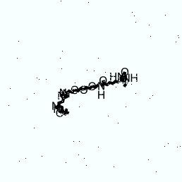 CC[C@H]1NC(=O)N[C@H]1CCCCCC(=O)NCCOCCOCCOCCn1cc(CCC2(CC(=O)C(C)(C)C)N=N2)nn1